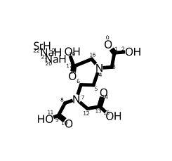 O=C(O)CN(CCN(CC(=O)O)CC(=O)O)CC(=O)O.[NaH].[NaH].[SrH2]